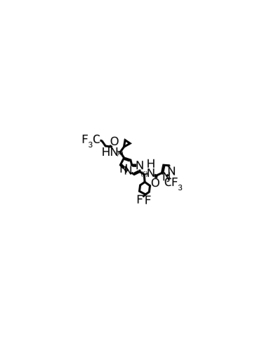 O=C(CCC(F)(F)F)N[C@@H](c1cnn2cc([C@@H](NC(=O)c3ccnn3C(F)(F)F)C3CCC(F)(F)CC3)nc2c1)C1CC1